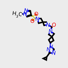 Cn1cc(S(=O)(=O)N2CC3(CN(C(=O)N4CC5(CC(n6cnc(C7CC7)n6)C5)C4)C3)C2)cn1